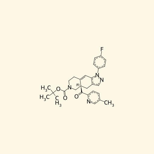 Cc1ccc(C(=O)[C@]23Cc4cnn(-c5ccc(F)cc5)c4C=C2CCN(C(=O)OC(C)(C)C)C3)nc1